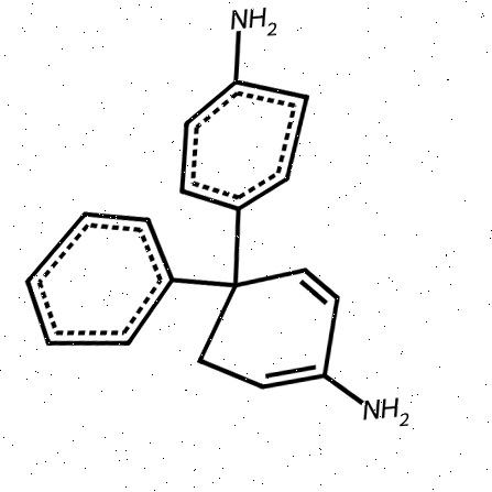 NC1=CCC(c2ccccc2)(c2ccc(N)cc2)C=C1